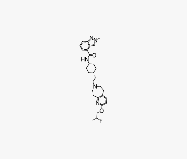 CC(F)COc1ccc2c(n1)CCN(CC[C@H]1CC[C@H](NC(=O)c3cccc4nn(C)cc34)CC1)CC2